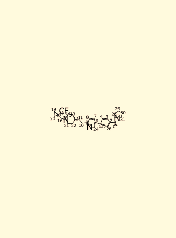 C=C(c1ccc(-c2ccc(CCC3CCN(CC4(C(F)(F)F)CC4)CC3)nc2)cc1)N1CCCC1